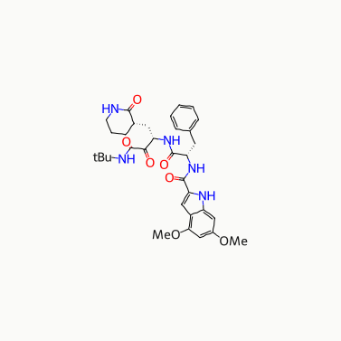 COc1cc(OC)c2cc(C(=O)N[C@@H](Cc3ccccc3)C(=O)N[C@@H](C[C@@H]3CCCNC3=O)C(=O)C(=O)NC(C)(C)C)[nH]c2c1